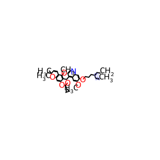 C=C/C=C(\C=C/C)CCCOc1cc2nccc(C(OC(=O)C3CC3)c3ccc4c(c3OC)C=CC(C)(C)O4)c2cc1OC